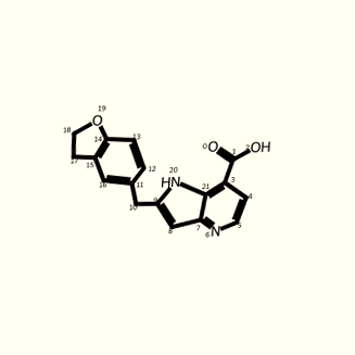 O=C(O)c1ccnc2cc(Cc3ccc4c(c3)CCO4)[nH]c12